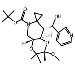 CO[C@@]1(C)O[C@@H]2[C@@H](C(O)c3cccnc3)C3(CC3)N(C(=O)OC(C)(C)C)C[C@H]2OC1(C)C